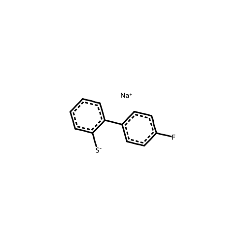 Fc1ccc(-c2ccccc2[S-])cc1.[Na+]